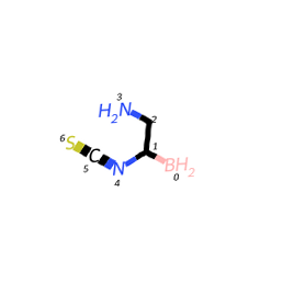 BC(CN)N=C=S